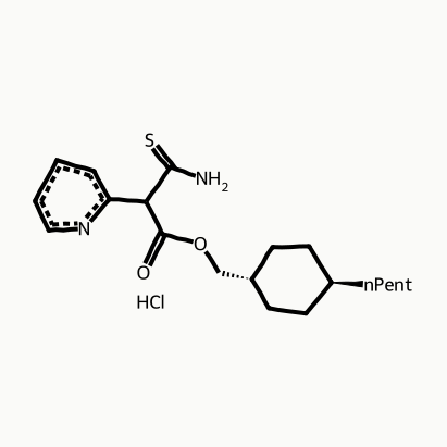 CCCCC[C@H]1CC[C@H](COC(=O)C(C(N)=S)c2ccccn2)CC1.Cl